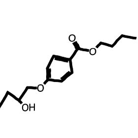 CCCCOC(=O)c1ccc(OCC(O)CC)cc1